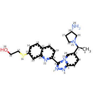 C[C@@H](c1ccc2nnc(-c3ccc4ccc(SCCO)cc4n3)n2c1)N1CC[C@H](N)C1